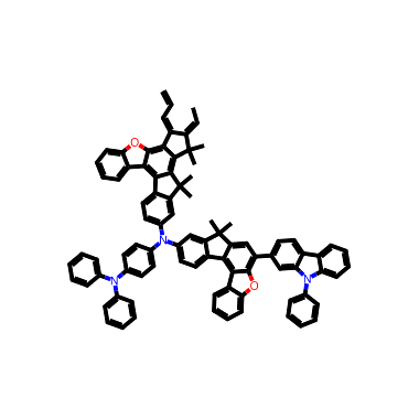 C=C/C=C1\C(=C/C)C(C)(C)c2c3c(c4c(oc5ccccc54)c21)-c1ccc(N(c2ccc(N(c4ccccc4)c4ccccc4)cc2)c2ccc4c(c2)C(C)(C)c2cc(-c5ccc6c7ccccc7n(-c7ccccc7)c6c5)c5oc6ccccc6c5c2-4)cc1C3(C)C